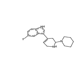 Fc1ccc2[nH]cc(C3=CCNC(N4CCCCC4)C3)c2c1